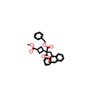 COC(=O)C1CC(C(Cc2c3ccccc3cc3ccccc23)(C(=O)OC)C(=O)OCc2ccccc2)C1